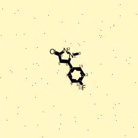 CN1[N]C(=O)C=C1c1ccc(F)cc1